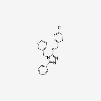 Clc1ccc(CSc2nnc(-c3ccccc3)n2Cc2ccccc2)cc1